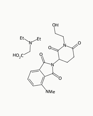 CCN(CC)CC(=O)O.CNc1cccc2c1C(=O)N(C1CCC(=O)N(CCO)C1=O)C2=O